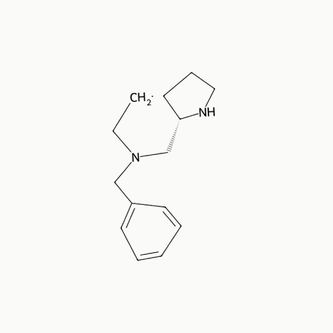 [CH2]CN(Cc1ccccc1)C[C@@H]1CCCN1